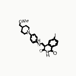 COCC1CCN(c2ccc(NC=C3C(=O)NC(=O)c4ccc(I)cc43)cc2)CC1